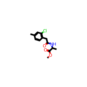 COC(=O)C(C)NC(=O)Cc1ccc(C)cc1Cl